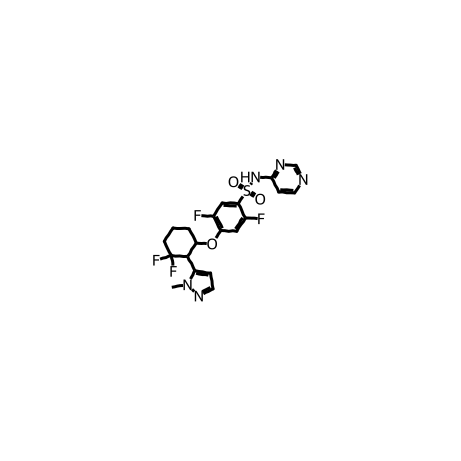 Cn1nccc1C1C(Oc2cc(F)c(S(=O)(=O)Nc3ccncn3)cc2F)CCCC1(F)F